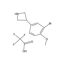 COc1ccc(C2CNC2)cc1Br.O=C(O)C(F)(F)F